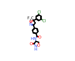 O=C(N[C@H]1CONC1=O)c1ccc(C2=NOC(c3cc(Cl)cc(Cl)c3)(C(F)(F)F)C2)cc1